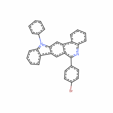 Brc1ccc(-c2nc3ccccc3c3cc4c(cc23)c2ccccc2n4-c2ccccc2)cc1